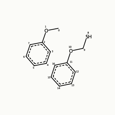 COc1ccccc1.SCOc1ccccc1